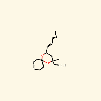 CC=CC=CC1CC(C)(CC(=O)O)OC2(CCCCC2)O1